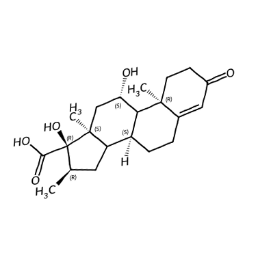 C[C@@H]1CC2[C@@H]3CCC4=CC(=O)CC[C@]4(C)C3[C@@H](O)C[C@]2(C)[C@@]1(O)C(=O)O